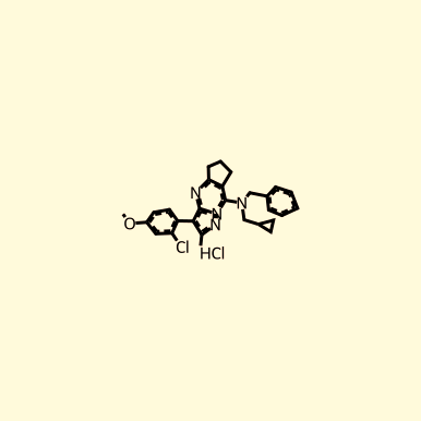 COc1ccc(-c2c(C)nn3c(N(Cc4ccccc4)CC4CC4)c4c(nc23)CCC4)c(Cl)c1.Cl